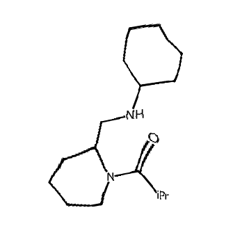 CC(C)C(=O)N1CCCCC1CNC1CCCCC1